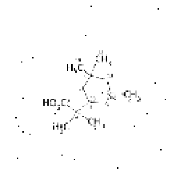 C[C@@H]1C[C@H](C(C)(C)C(=O)O)CC(C)(C)C1